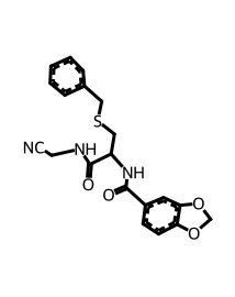 N#CCNC(=O)C(CSCc1ccccc1)NC(=O)c1ccc2c(c1)OCO2